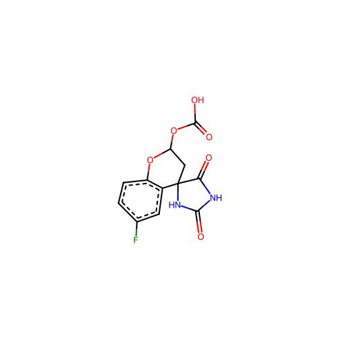 O=C1NC(=O)C2(CC(OC(=O)O)Oc3ccc(F)cc32)N1